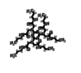 CCCNC(=O)CN(CC(=O)NCCC)c1nc(N(CC(=O)NCCC)CC(=O)NCCC)nc(N(CC(=O)NCCC)CC(=O)NCCC)n1